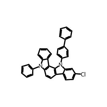 Clc1ccc2c3ccc4c(c5ccccc5n4-c4ccccc4)c3n(-c3ccc(-c4ccccc4)cc3)c2c1